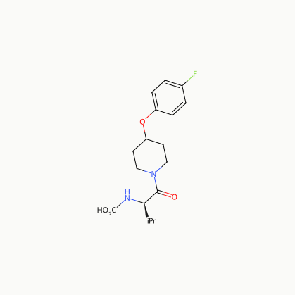 CC(C)[C@@H](NC(=O)O)C(=O)N1CCC(Oc2ccc(F)cc2)CC1